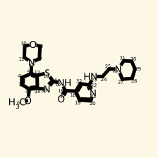 COc1ccc(N2CCOCC2)c2sc(NC(=O)c3ccnc(NCCN4CCCCC4)c3)nc12